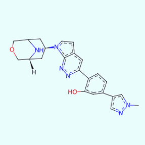 Cn1cc(-c2ccc(-c3cc4ccn([C@@H]5CC6COC[C@@H](C5)N6)c4nn3)c(O)c2)cn1